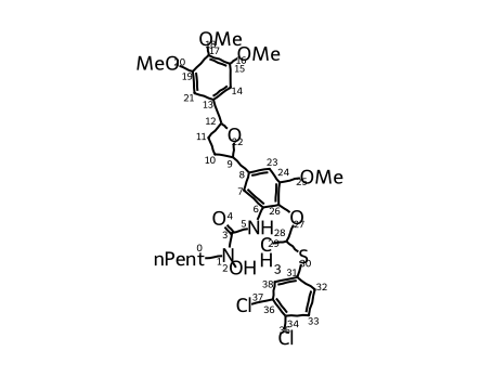 CCCCCN(O)C(=O)Nc1cc(C2CCC(c3cc(OC)c(OC)c(OC)c3)O2)cc(OC)c1OC(C)Sc1ccc(Cl)c(Cl)c1